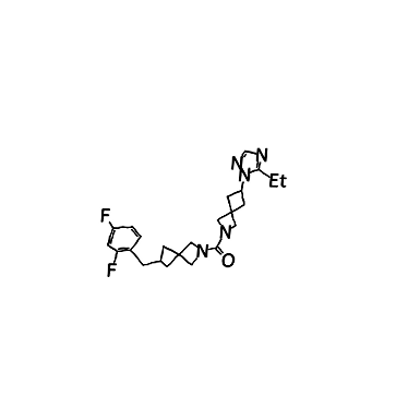 CCc1ncnn1C1CC2(C1)CN(C(=O)N1CC3(CC(Cc4ccc(F)cc4F)C3)C1)C2